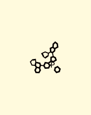 C1=CCC(c2cc3ccccc3cc2-c2ccc3c(c2)c2cc(-c4cc5c(c6ccccc46)CCC=C5)ccc2p3-c2ccccc2)C=C1